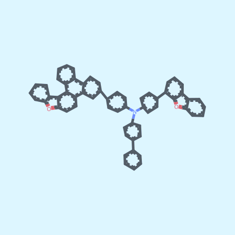 c1ccc(-c2ccc(N(c3ccc(-c4ccc5c6ccccc6c6c(ccc7oc8ccccc8c76)c5c4)cc3)c3ccc(-c4cccc5c4oc4ccccc45)cc3)cc2)cc1